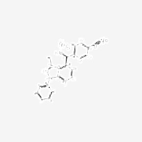 Cc1nn(-c2ccccc2)c2nccc(C(=NN)c3ccc(C#N)cc3)c12